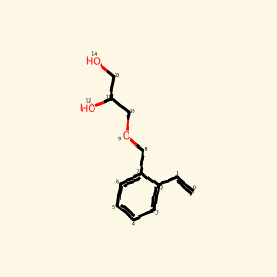 C=Cc1ccccc1COCC(O)CO